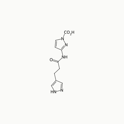 O=C(CCc1cn[nH]c1)Nc1ccn(C(=O)O)n1